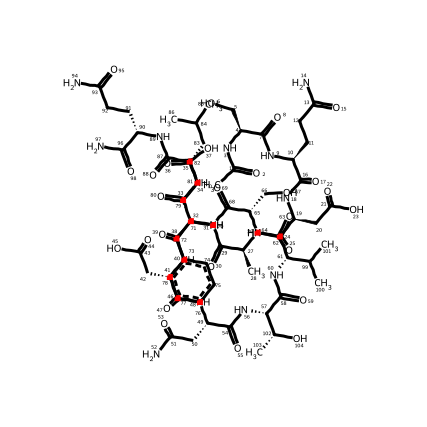 CC(=O)N[C@@H](CO)C(=O)N[C@@H](CCC(N)=O)C(=O)N[C@@H](CC(=O)O)C(=O)N[C@@H](C)C(=O)N[C@@H](CCC(=O)O)C(=O)N[C@@H](CC(=O)O)C(=O)N[C@@H](CC(N)=O)C(=O)N[C@H](C(=O)N[C@H](C(=O)N[C@@H](CO)C(=O)N[C@@H](Cc1ccccc1)C(=O)N[C@@H](CC(C)C)C(=O)N[C@@H](CCC(N)=O)C(N)=O)C(C)C)[C@@H](C)O